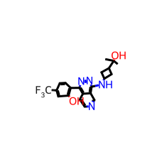 CC(C)(O)C1CC(Nc2nnc(-c3ccc(C(F)(F)F)cc3O)c3ccncc23)C1